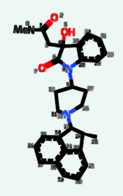 CNC(=O)CC1(O)C(=O)N(C2CCN(C3c4cccc5cccc(c45)[C@@H]3C)CC2)c2ccccc21